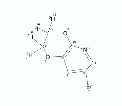 [2H]C1([2H])Oc2cc(Br)cnc2OC1([2H])[2H]